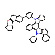 c1ccc(-n2c3c4ccccc4ccc3c3c4c5ccccc5n(-c5cccc(-c6ccc7c(ccc8oc9ccccc9c87)c6)c5)c4c4ccccc4c32)cc1